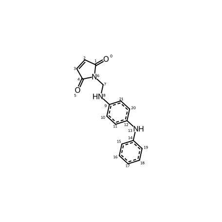 O=C1C=CC(=O)N1CNc1ccc(Nc2ccccc2)cc1